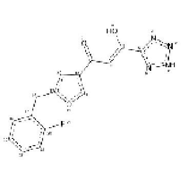 O=C(C=C(O)c1nn[nH]n1)c1coc(Cc2ccccc2F)c1